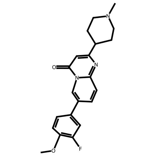 COc1ccc(-c2ccc3nc(C4CCN(C)CC4)cc(=O)n3c2)cc1F